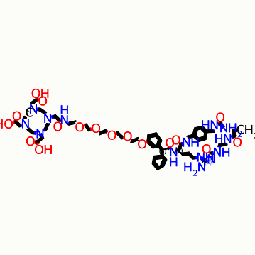 CCC(=O)NCCNC(=O)/N=C(/N)NCCC[C@@H](NC(=O)[C@@H](c1ccccc1)c1cccc(OCCOCCOCCOCCOCCNC(=O)CN2CCN(CC(=O)O)CCN(CC(=O)O)CCN(CC(=O)O)CC2)c1)C(=O)NCc1ccc(CNC(N)=O)cc1